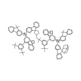 CC(C)(C)c1cc(-c2cc(N(c3ccc4c(c3)C(C)(C)c3ccccc3-4)c3ccc4c(c3)C3(CCC(CC(C)(C)c5cc(-c6cc(N(c7ccc8c(c7)C(C)(C)c7ccccc7-8)c7ccc8c(c7)C7(c9ccccc9-8)C8CC9CC(C8)CC7C9)cc7oc8ccccc8c67)cc(C(C)(C)C)c5)C3)c3ccccc3-4)cc3oc4ccccc4c23)cc(C(C)(C)C)c1